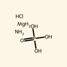 Cl.N.O=P(O)(O)O.[MgH2]